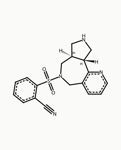 N#Cc1ccccc1S(=O)(=O)N1Cc2cccnc2[C@H]2CNC[C@@H]2C1